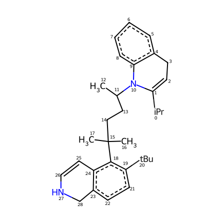 CC(C)C1=CCc2ccccc2N1C(C)CCC(C)(C)c1c(C(C)(C)C)ccc2c1C=CNC2